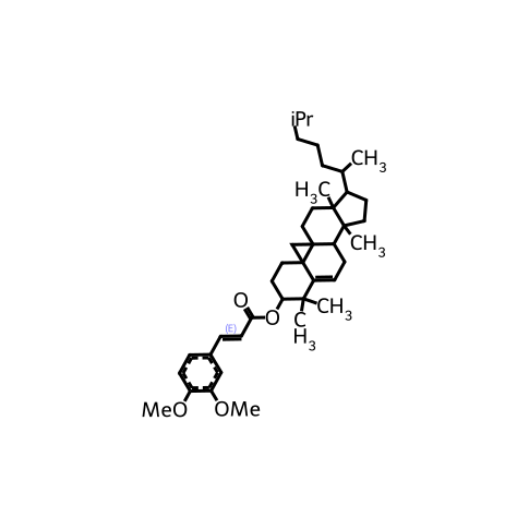 COc1ccc(/C=C/C(=O)OC2CCC34CC35CCC3(C)C(C(C)CCCC(C)C)CCC3(C)C5CC=C4C2(C)C)cc1OC